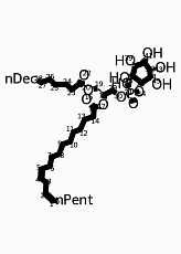 CCCCC/C=C\C/C=C\CCCCCCCCCC(=O)O[C@H](COC(=O)CCCCCCCCCCCCCCC)COP(=O)(O)OC1C(O)C(O)C(O)[C@@H](O)C1O